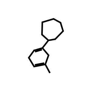 CC1=CCC=C(C2CCCCCC2)C1